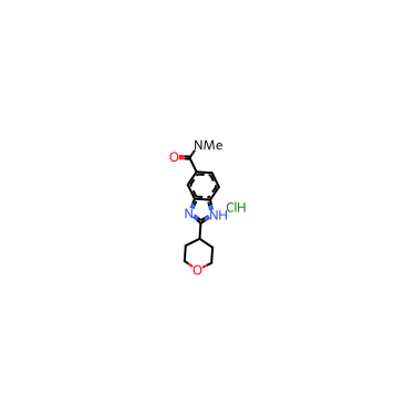 CNC(=O)c1ccc2[nH]c(C3CCOCC3)nc2c1.Cl